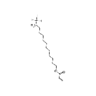 C=CC(=O)OCCCCCCCCCCC[SiH2]C(I)(I)I